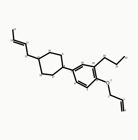 C=CCOc1ccc(C2CCC(CC=CC)CC2)cc1CCC